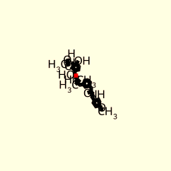 COc1ccc(CNC(=O)Cc2cccc(CC(C)(C)NC[C@H](O)c3ccc(O)c(NS(C)(=O)=O)c3)c2)cc1